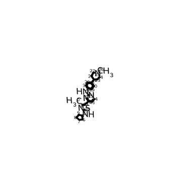 Cc1nc(NC2CCCC2)sc1-c1ccnc(Nc2ccc(C3CCN(C)CC3)cc2)n1